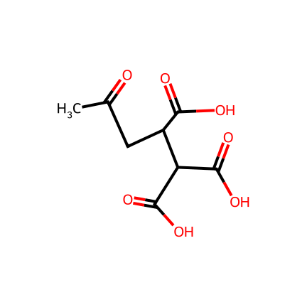 CC(=O)CC(C(=O)O)C(C(=O)O)C(=O)O